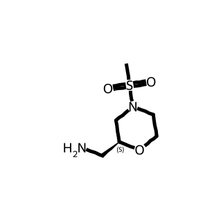 CS(=O)(=O)N1CCO[C@@H](CN)C1